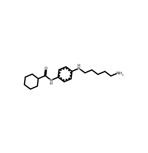 NCCCCCNc1ccc(NC(=O)C2CCCCC2)cc1